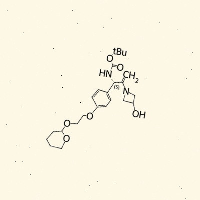 C=C([C@@H](NC(=O)OC(C)(C)C)c1ccc(OCCOC2CCCCO2)cc1)N1CC(O)C1